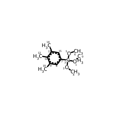 CO[Si](OC)(OC)c1cc(C)c(C)c(C)c1